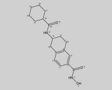 O=C(NO)c1ccc2c(c1)CCC(NC(=O)C1CCCCC1)C2